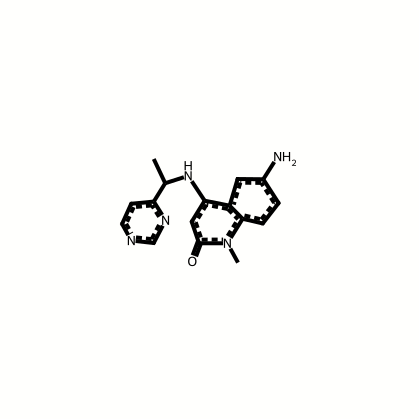 CC(Nc1cc(=O)n(C)c2ccc(N)cc12)c1ccncn1